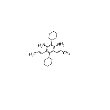 CC=Cc1c(N)c(C2CCCCC2)c(N)c(C=CC)c1C1CCCCC1